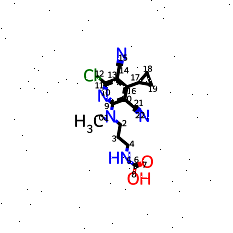 CN(CCCNC(=O)O)c1nc(Cl)c(C#N)c(C2CC2)c1C#N